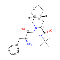 CC(C)(C)NC(=O)[C@@H]1C[C@H]2CCCC[C@@H]2CN1C[C@@H](O)[C@@H](N)Cc1ccccc1